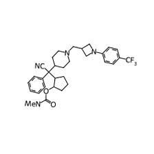 CNC(=O)OC1CCCC1C(C#N)(c1ccccc1)C1CCN(CC2CN(c3ccc(C(F)(F)F)cc3)C2)CC1